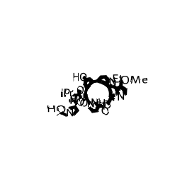 CCn1c(-c2cnccc2COC)c2c3cc(ccc31)-c1cc(O)cc(c1)C[C@H](NC(=O)C(C(C)C)N(C)C(=O)[C@H]1CCN(C[C@H](C)O)C1)C(=O)N1CCC[C@H](N1)C(=O)OCC(C)(C)C2